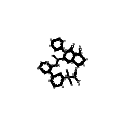 C[C@H](Nc1ncncc1-c1cccc(S(C)(C)[N+](=O)[O-])c1)c1cc2cccc(Cl)c2c(=O)n1-c1ccccc1